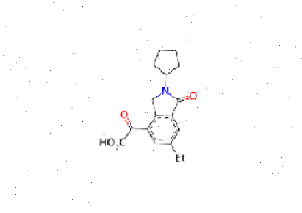 CCc1cc(C(=O)C(=O)O)c2c(c1)C(=O)N(C1CCCC1)C2